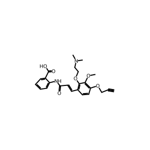 C#CCOc1ccc(C=CC(=O)Nc2ccccc2C(=O)O)c(OCCN(C)C)c1OC